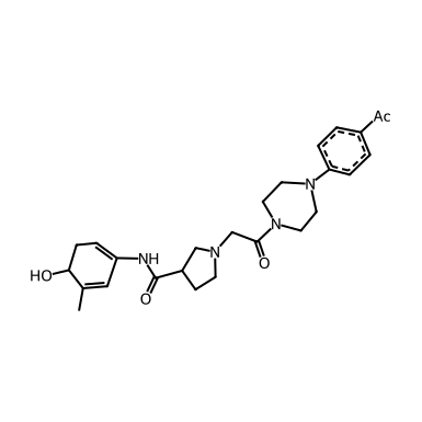 CC(=O)c1ccc(N2CCN(C(=O)CN3CCC(C(=O)NC4=CCC(O)C(C)=C4)C3)CC2)cc1